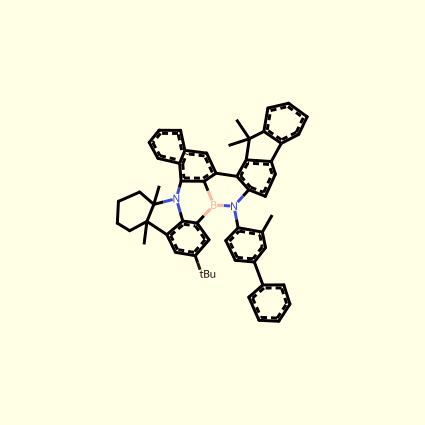 Cc1cc(-c2ccccc2)ccc1N1B2c3cc(C(C)(C)C)cc4c3N(c3c2c(cc2ccccc32)-c2c1ccc1c2C(C)(C)c2ccccc2-1)C1(C)CCCCC41C